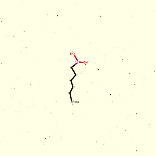 CCCCCCCCCCP(O)O